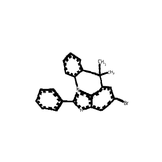 CC1(C)c2ccccc2-n2c(-c3ccccc3)nc3cc(Br)cc1c32